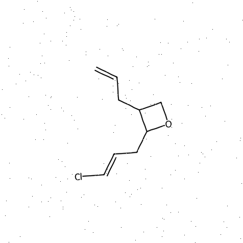 C=CCC1COC1CC=CCl